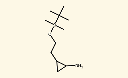 CC(C)(C)[Si](C)(C)OCCC1CC1N